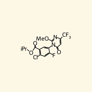 COc1nc(C(F)(F)F)cc(=O)n1-c1cc(C(=O)OC(C)C)c(Cl)cc1F